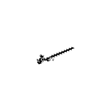 CCCCCCCCCCCCCCCCCCOC[C@H]1C[C@H](COC(=O)N(Cc2cccc[n+]2C)C(C)=O)CO1.[I-]